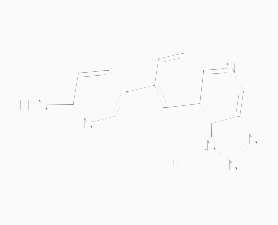 CC(C)n1nnc2cnc3ccc(-c4ccc(N)nc4)cc3c21